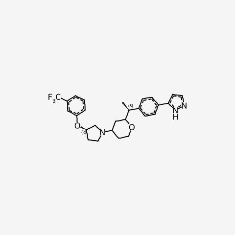 C[C@@H](c1ccc(-c2ccn[nH]2)cc1)C1CC(N2CC[C@@H](Oc3cccc(C(F)(F)F)c3)C2)CCO1